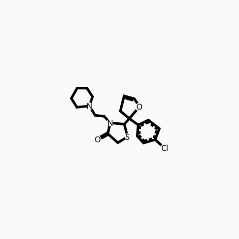 O=C1CSC(C2(c3ccc(Cl)cc3)CC=CO2)N1CCN1CCCCC1